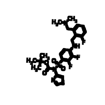 CN(C)Cc1cccc(F)c1CNc1ccc(S(=O)(=O)N(C(=O)OC(C)(C)C)c2cscn2)c(F)c1F